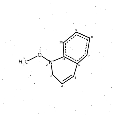 CON1CC=Cc2ccccc21